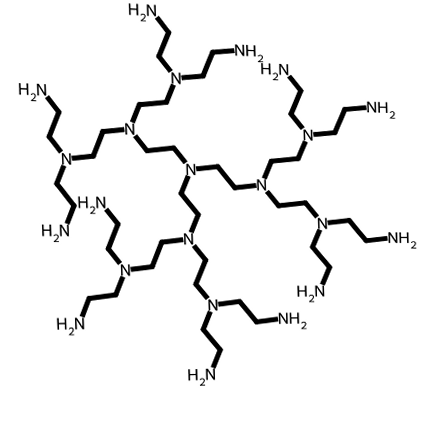 NCCN(CCN)CCN(CCN(CCN)CCN)CCN(CCN(CCN(CCN)CCN)CCN(CCN)CCN)CCN(CCN(CCN)CCN)CCN(CCN)CCN